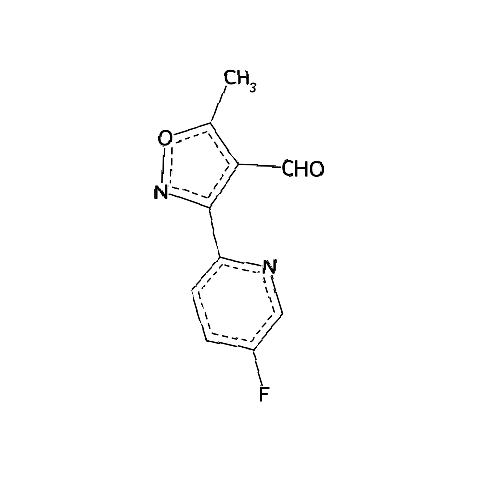 Cc1onc(-c2ccc(F)cn2)c1C=O